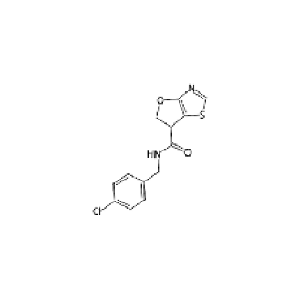 O=C(NCc1ccc(Cl)cc1)C1COc2ncsc21